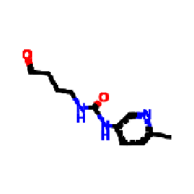 Cc1ccc(NC(=O)NCCCC=O)cn1